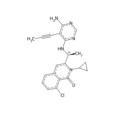 CC#Cc1c(N)ncnc1N[C@@H](C)c1cc2cccc(Cl)c2c(=O)n1C1CC1